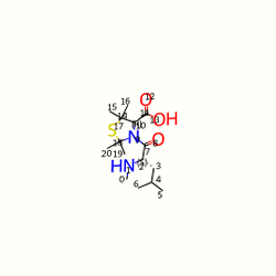 CN[C@@H](CC(C)C)C(=O)N1[C@H](C(=O)O)C(C)(C)SC1(C)C